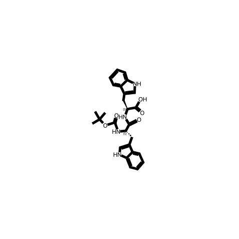 CC(C)(C)OC(=O)N[C@@H](Cc1c[nH]c2ccccc12)C(=O)N[C@@H](Cc1c[nH]c2ccccc12)C(=O)O